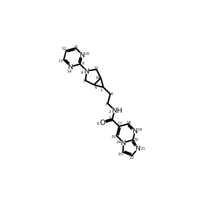 O=C(NCCC1C2CN(c3ncccn3)CC12)c1cnc2nccn2c1